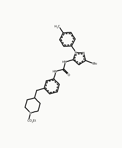 CCOC(=O)N1CCC(Cc2cccc(NC(=O)Nc3cc(C(C)(C)C)nn3-c3ccc(C)cc3)c2)CC1